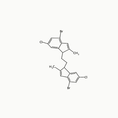 CC1=Cc2c(Br)cc(Cl)cc2C1CCC1C(C)=Cc2c(Br)cc(Cl)cc21